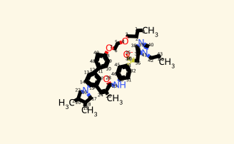 CCCCOCCOc1ccc(-c2ccc(N3CC(C)C(C)C3)c(C=C(C)C(=O)Nc3ccc([S@@+]([O-])Cc4cncn4CCC)cc3)c2)cc1